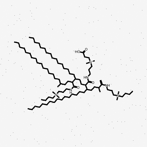 C=C(NCCC[N+](C)(C)CCCC)C(C)CCC(CCCCCCCCCCCCCCCC)C(CCC(CCCCCCCCCCCCCCCC)C(CCC(C)CCCCCCCCCCCCCCCC)C(=O)NCCC[N+](C)(C)CCCC)C(=O)NCCC[N+](C)(C)CCC(=O)O